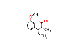 CC[C@@H](c1cccc(OC)c1)[C@@H](C)C(=O)O